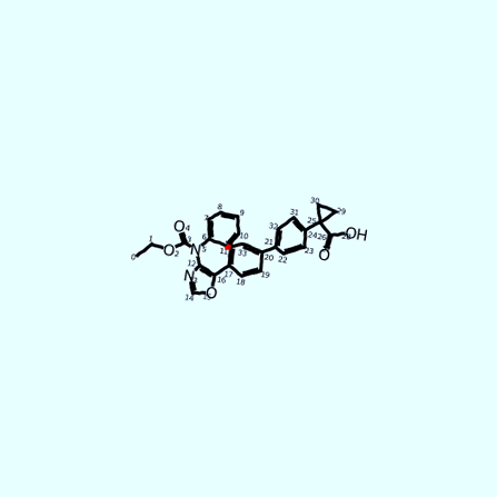 CCOC(=O)N(c1ccccc1)c1ncoc1-c1ccc(-c2ccc(C3(C(=O)O)CC3)cc2)cc1